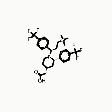 C[Si](C)(C)CC[C@H](c1ccc(C(F)(F)F)cc1)N1CC[C@@H](CC(=O)O)C[C@H]1c1ccc(C(F)(F)F)cc1